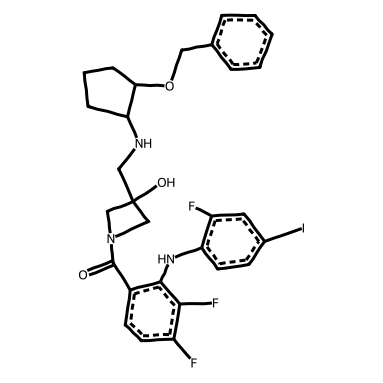 O=C(c1ccc(F)c(F)c1Nc1ccc(I)cc1F)N1CC(O)(CNC2CCCC2OCc2ccccc2)C1